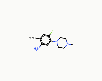 COc1cc(F)c(N2CCN(C)CC2)cc1N